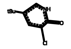 CC(C)(C)c1c[nH]c(=O)c(Cl)c1